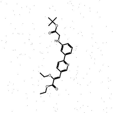 CCOC(=O)C(=Cc1ccc(-c2cccc(NCC(=O)OC(C)(C)C)c2)nc1)OCC